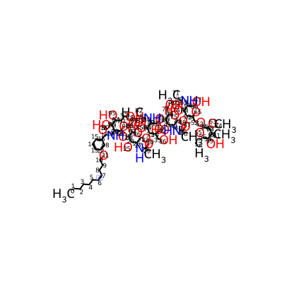 CCCCCC/C=C\CCCOc1cccc(C(=O)N[C@@H]2C(O[C@H]3C(O)C(NC(C)=O)C(OC4C(CO)OC(O[C@H]5C(O)C(NC(C)=O)C(OC6C(CO[C@@H]7OC(C)C(O)[C@H](C)[C@H]7OC)OC(O)C(NC(C)=O)[C@H]6O)O[C@H]5CO)[C@@H](NC(C)=O)[C@H]4O)O[C@H]3CO)OC(CO)[C@@H](O)[C@@H]2O)c1